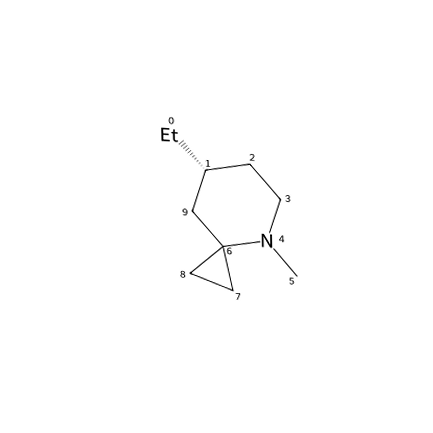 CC[C@@H]1CCN(C)C2(CC2)C1